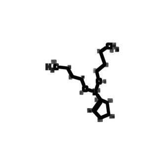 CCCCOB(OCCCC)C1=CCCC1